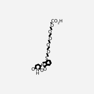 O=C(O)COCCOCCOCCOCCOCCSc1cccc2c1CN(C1CCC(=O)NC1=O)C2=O